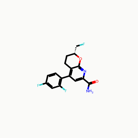 NC(=O)c1cc(-c2ccc(F)cc2F)c2c(n1)O[C@@H](CF)CC2